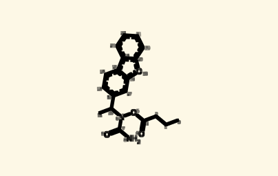 CCCC(=O)ON(C(N)=O)C(C)c1ccc2c(c1)oc1ccccc12